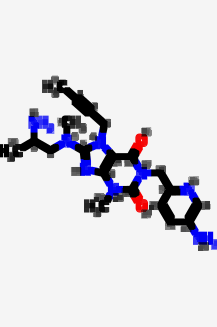 CC#CCn1c(N(C)CC(C)N)nc2c1c(=O)n(Cc1ccc(N)cn1)c(=O)n2C